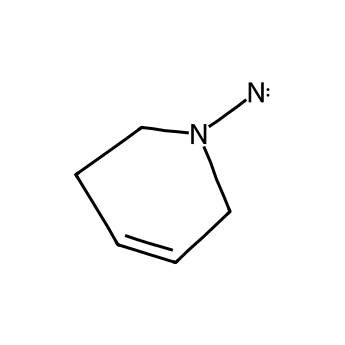 [N]N1CC=CCC1